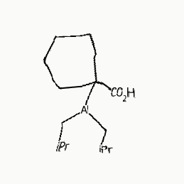 CC(C)[CH2][Al]([CH2]C(C)C)[C]1(C(=O)O)CCCCC1